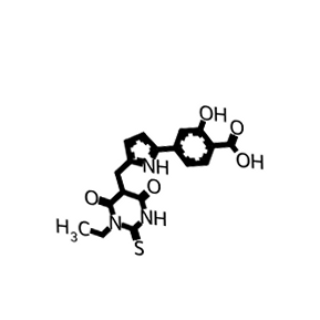 CCN1C(=O)C(Cc2ccc(-c3ccc(C(=O)O)c(O)c3)[nH]2)C(=O)NC1=S